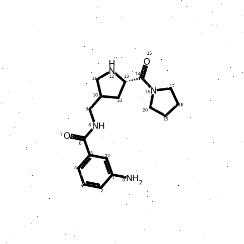 Nc1cccc(C(=O)NCC2CN[C@H](C(=O)N3CCCC3)C2)c1